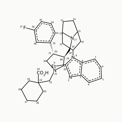 CCc1nc2ccccc2n1C1CC2CCC(C1)N2C[C@H]1CN(CC2(C(=O)O)CCCCC2)C[C@@H]1c1cccc(F)c1